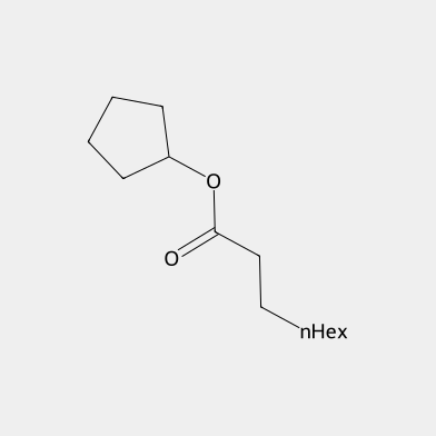 [CH2]CCCCCCCC(=O)OC1CCCC1